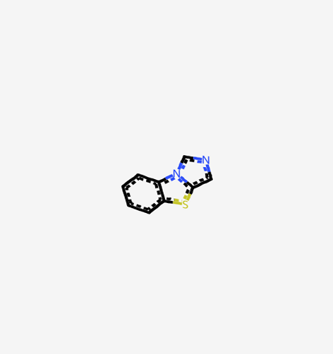 c1ccc2c(c1)sc1cncn12